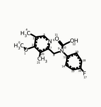 COc1c(C)cnc(CN(C(=O)O)c2ccc(F)cc2)c1C